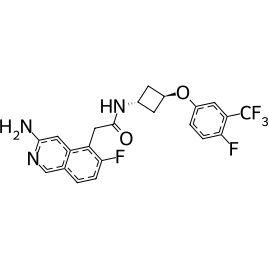 Nc1cc2c(CC(=O)N[C@H]3C[C@H](Oc4ccc(F)c(C(F)(F)F)c4)C3)c(F)ccc2cn1